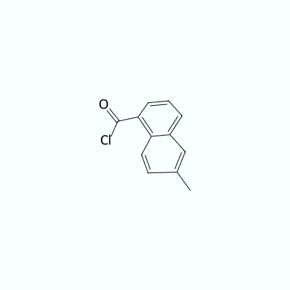 Cc1ccc2c(C(=O)Cl)cccc2c1